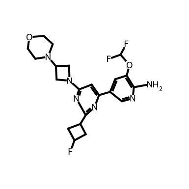 Nc1ncc(-c2cc(N3CC(N4CCOCC4)C3)nc(C3CC(F)C3)n2)cc1OC(F)F